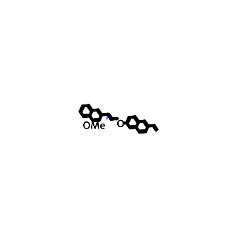 C=Cc1ccc2cc(OC/C=C/c3cc4ccccc4cc3OC)ccc2c1